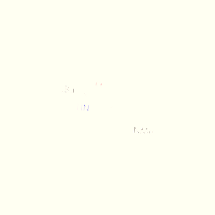 CNc1ccc(NC(=O)C(C)(C)C)cc1